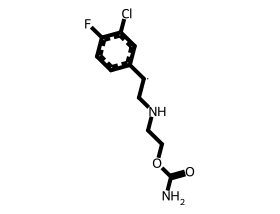 NC(=O)OCCNC[CH]c1ccc(F)c(Cl)c1